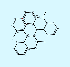 COC1=CC=CCC1P(c1ccccc1F)N(C(C)C)P(C1=C(F)CCC=C1)C1CC=CC=C1F